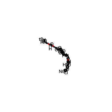 CC(C)(C)OC(=O)NCCCCCNC(=O)CCCCCCC(=O)OCN1C(=O)CCC(N2C(=O)c3cc(F)c(N4CCN(CC5CCN(c6ccc(C(=O)NC7CCC(Oc8ccc(C#N)c(Cl)c8)CC7)nn6)CC5)CC4)cc3C2=O)C1=O